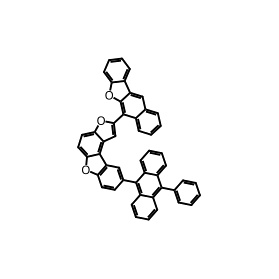 c1ccc(-c2c3ccccc3c(-c3ccc4oc5ccc6oc(-c7c8ccccc8cc8c7oc7ccccc78)cc6c5c4c3)c3ccccc23)cc1